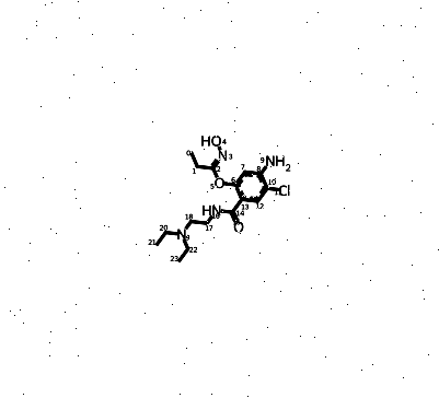 CCC(=NO)Oc1cc(N)c(Cl)cc1C(=O)NCCN(CC)CC